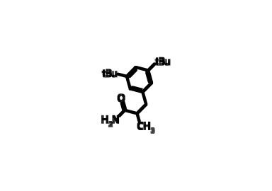 CC(Cc1cc(C(C)(C)C)cc(C(C)(C)C)c1)C(N)=O